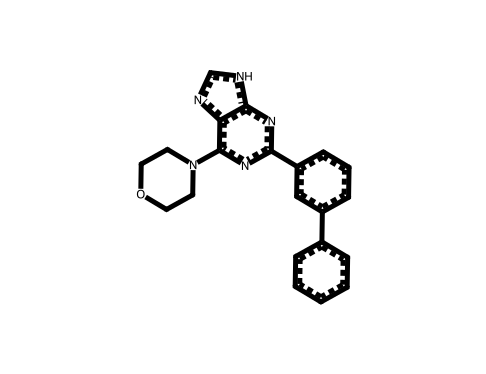 c1ccc(-c2cccc(-c3nc(N4CCOCC4)c4nc[nH]c4n3)c2)cc1